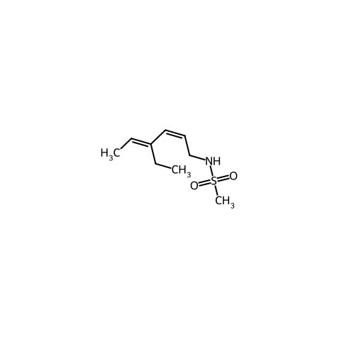 C/C=C(/C=C\CNS(C)(=O)=O)CC